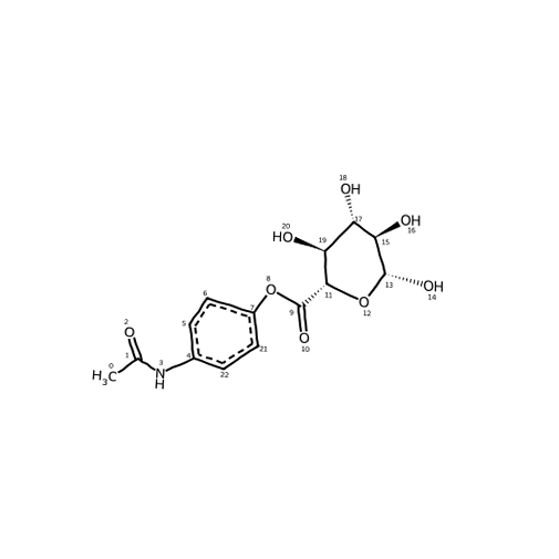 CC(=O)Nc1ccc(OC(=O)[C@H]2O[C@@H](O)[C@H](O)[C@@H](O)[C@@H]2O)cc1